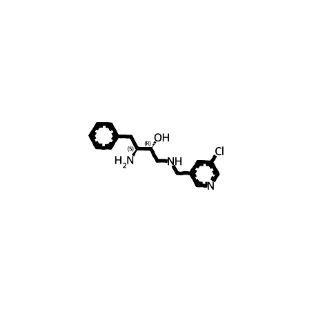 N[C@@H](Cc1ccccc1)[C@H](O)CNCc1cncc(Cl)c1